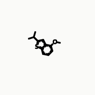 COc1cccc2sc(C(C)C)cc12